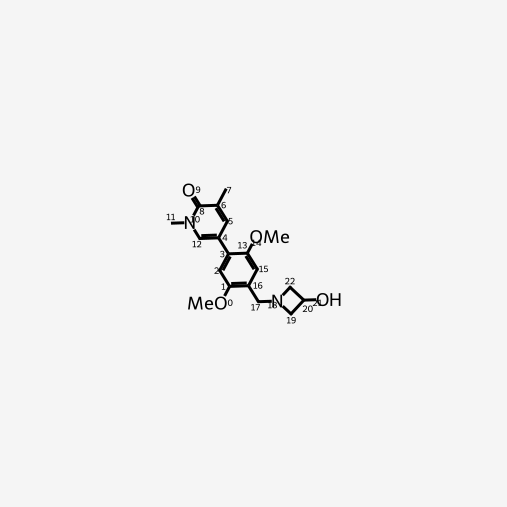 COc1cc(-c2cc(C)c(=O)n(C)c2)c(OC)cc1CN1CC(O)C1